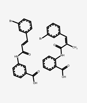 CC(=Cc1cccc(Br)c1)C(=O)Nc1ccccc1C(=O)O.O=C(C=Cc1cccc(Br)c1)Nc1cccc(C(=O)O)c1